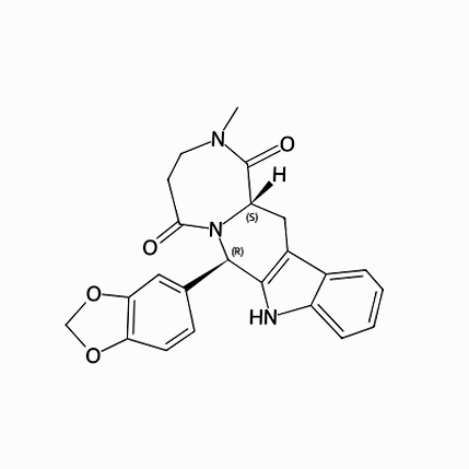 CN1CCC(=O)N2[C@H](c3ccc4c(c3)OCO4)c3[nH]c4ccccc4c3C[C@H]2C1=O